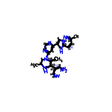 CC1CN(c2cc(-c3cnc(/C=C\C(=N)C#N)[nH]3)ncn2)C(C)C(/C(C=N)=C/N)N1